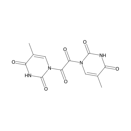 Cc1cn(C(=O)C(=O)n2cc(C)c(=O)[nH]c2=O)c(=O)[nH]c1=O